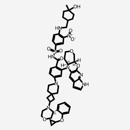 CC1(O)CCC(CNc2ccc(S(=O)(=O)NC(=O)c3ccc(N4CCC5(CC4)CC(N4CCOC[C@H]4c4ccccc4OC4CC4)C5)cc3N3c4cc5cc[nH]c5nc4O[C@H]4COCC[C@@H]43)cc2[N+](=O)[O-])CC1